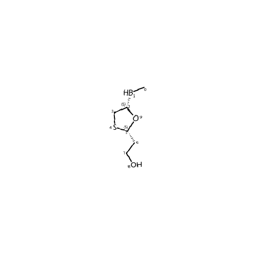 CB[C@H]1CS[C@@H](CCO)O1